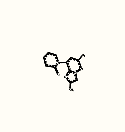 Cc1cn2nc(C(C)C)cc(-n3ccccc3=O)c2n1